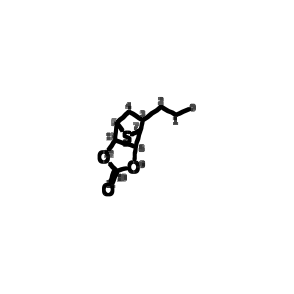 CCCC1CC2SC1C1OC(=O)OC21